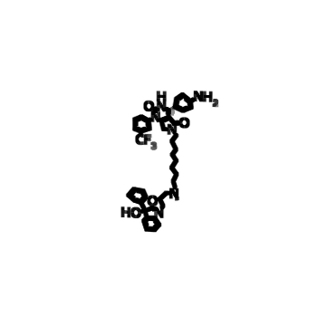 CN(CCCCCCCCCN1CC2=C(C1=O)[C@@H](c1ccc(N)cc1)NC(=O)N2c1cccc(C(F)(F)F)c1)CC1CN=C(C(O)(c2ccccc2)c2ccccc2)O1